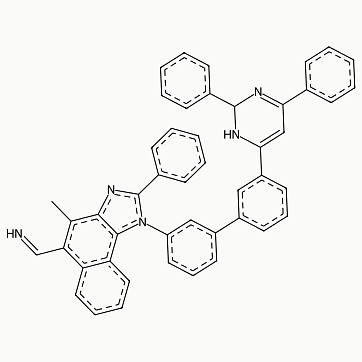 Cc1c(C=N)c2ccccc2c2c1nc(-c1ccccc1)n2-c1cccc(-c2cccc(C3=CC(c4ccccc4)=NC(c4ccccc4)N3)c2)c1